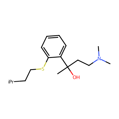 CC(C)CCSc1ccccc1C(C)(O)CCN(C)C